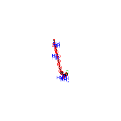 CCCCNC(=O)NCCOCCOCCNC(=O)NCCOCCOCCOCCOc1ccc(-c2nc(NC(=N)N)nc3ccc(Cl)cc23)cc1